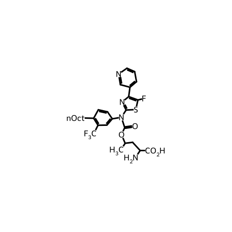 CCCCCCCCc1ccc(N(C(=O)OC(C)CC(N)C(=O)O)c2nc(-c3cccnc3)c(F)s2)cc1C(F)(F)F